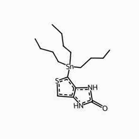 CCC[CH2][Sn]([CH2]CCC)([CH2]CCC)[c]1scc2[nH]c(=O)[nH]c12